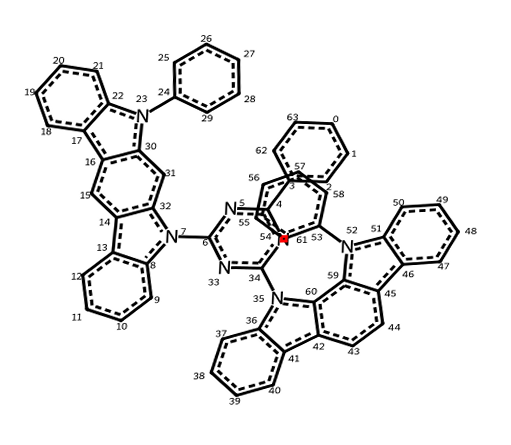 c1ccc(-c2nc(-n3c4ccccc4c4cc5c6ccccc6n(-c6ccccc6)c5cc43)nc(-n3c4ccccc4c4ccc5c6ccccc6n(-c6ccccc6)c5c43)n2)cc1